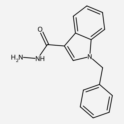 NNC(=O)c1cn(Cc2ccccc2)c2ccccc12